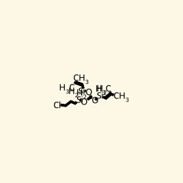 CC(C)=C[SiH2]OC(O[SiH2]C=C(C)C)O[SiH2]CCCCl